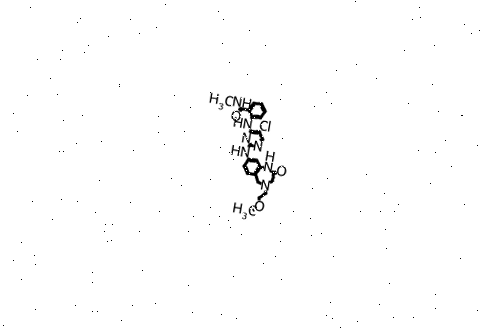 CNC(=O)c1ccccc1Nc1nc(Nc2ccc3c(c2)NC(=O)CN(CCOC)C3)ncc1Cl